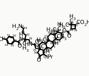 CC(C)C1=C2[C@H]3CC[C@@H]4[C@@]5(C)CC[C@H](OC(=O)[C@H]6C[C@@H](C(=O)O)C6(C)C)C(C)(C)[C@@H]5CC[C@@]4(C)[C@]3(C)CC[C@@]2(CC(=O)NCC(C)(CCCN)NC(=O)c2ccc(Cl)cc2)CC1=O